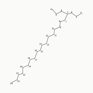 [CH2]CCC(CCC)CCCCCCCCCCCCCCCCCC